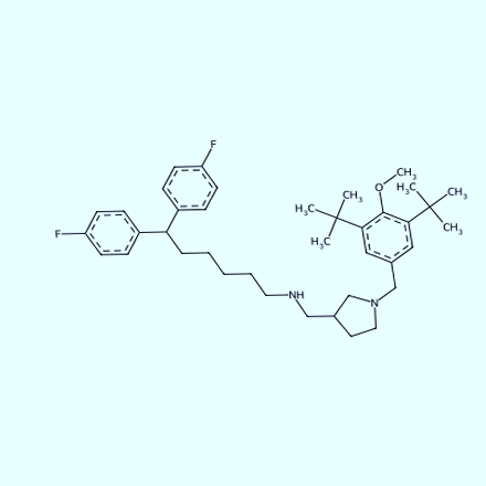 COc1c(C(C)(C)C)cc(CN2CCC(CNCCCCCC(c3ccc(F)cc3)c3ccc(F)cc3)C2)cc1C(C)(C)C